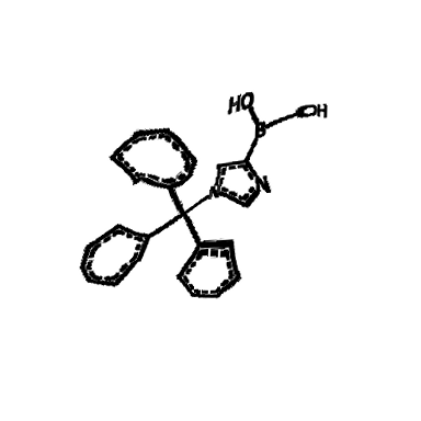 OB(O)c1cn(C(c2ccccc2)(c2ccccc2)c2ccccc2)cn1